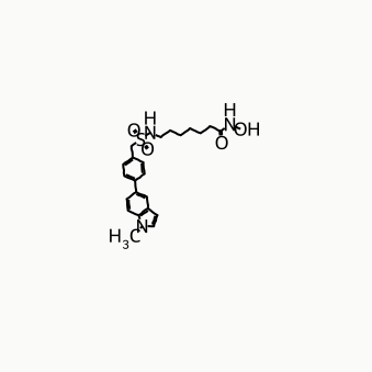 Cn1ccc2cc(-c3ccc(CS(=O)(=O)NCCCCCCC(=O)NO)cc3)ccc21